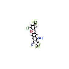 N#CC[C@H](CCC(F)(F)F)C(=N)c1ccc(Oc2ccc(C(F)(F)F)cc2Cl)cc1